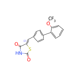 O=C1NC(=O)/C(=C/c2ccc(-c3ccccc3OC(F)(F)F)cc2)S1